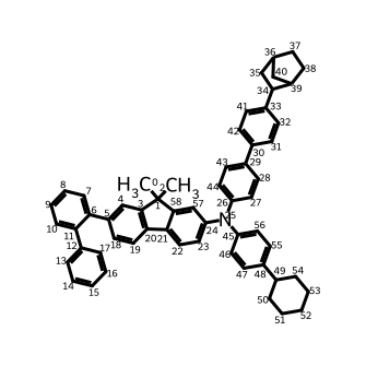 CC1(C)c2cc(-c3ccccc3-c3ccccc3)ccc2-c2ccc(N(c3ccc(-c4ccc(C5CC6CCC5C6)cc4)cc3)c3ccc(C4CCCCC4)cc3)cc21